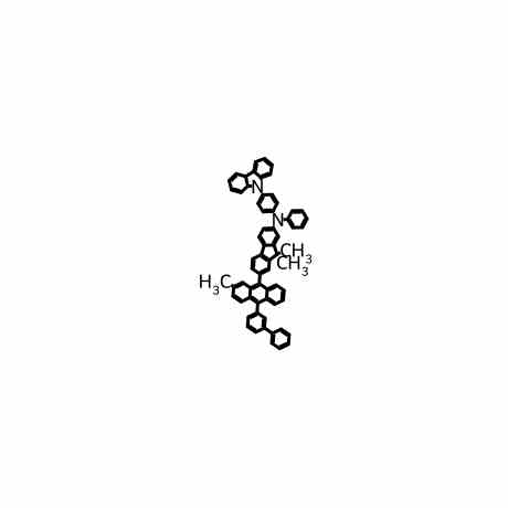 Cc1ccc2c(-c3cccc(-c4ccccc4)c3)c3ccccc3c(-c3ccc4c(c3)C(C)(C)c3cc(N(c5ccccc5)c5ccc(N6c7ccccc7C7C=CC=CC76)cc5)ccc3-4)c2c1